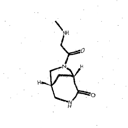 CNCC(=O)N1C[C@H]2CNC(=O)[C@@H]1C2